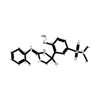 Br.CCC1(c2cc(S(=O)(=O)N(C)C)ccc2Br)CSC(=Nc2ccccc2C)N1